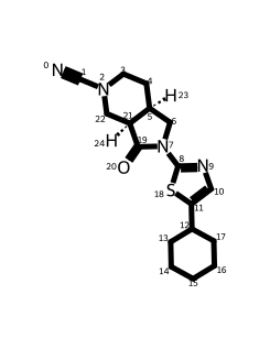 N#CN1CC[C@H]2CN(c3ncc(C4CCCCC4)s3)C(=O)[C@H]2C1